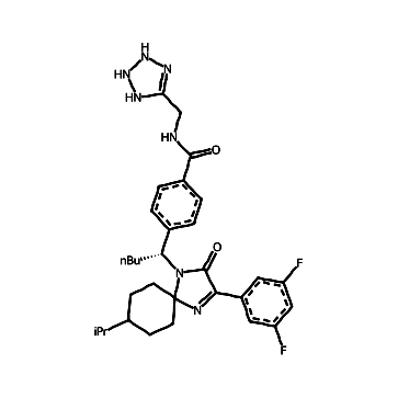 CCCC[C@H](c1ccc(C(=O)NCC2=NNNN2)cc1)N1C(=O)C(c2cc(F)cc(F)c2)=NC12CCC(C(C)C)CC2